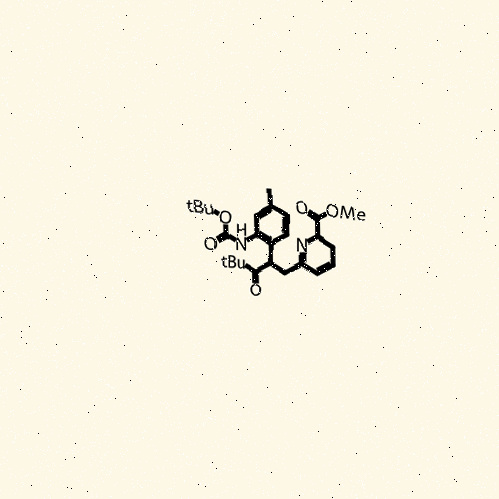 COC(=O)C1CC=CC(CC(C(=O)C(C)(C)C)c2ccc(C)cc2NC(=O)OC(C)(C)C)=N1